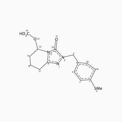 CSc1ccc(Cn2nc3n(c2=O)C(OC(=O)O)CCC3)cc1